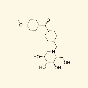 COC1CCC(C(=O)N2CCC(CN3C[C@H](O)[C@@H](O)[C@H](O)[C@@H]3CO)CC2)CC1